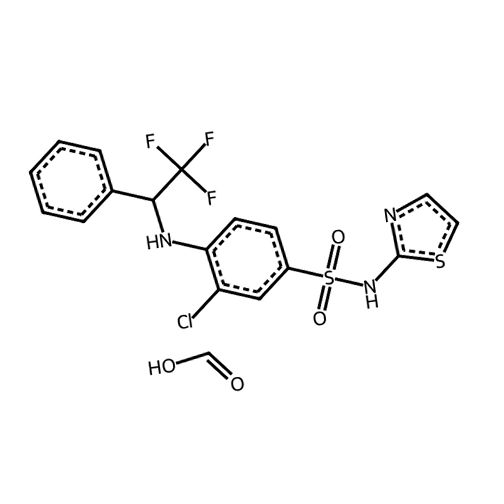 O=CO.O=S(=O)(Nc1nccs1)c1ccc(NC(c2ccccc2)C(F)(F)F)c(Cl)c1